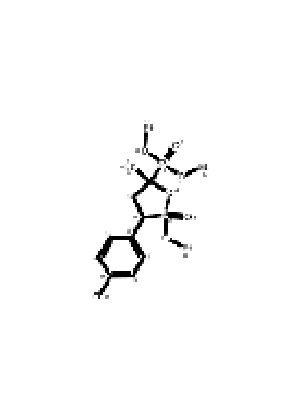 CCOP1(=O)OC(C)(P(=O)(OCC)OCC)CC1c1ccc(Cl)cc1